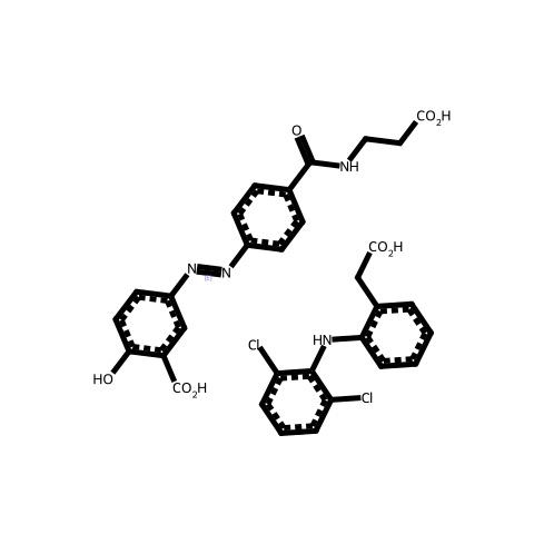 O=C(O)CCNC(=O)c1ccc(/N=N/c2ccc(O)c(C(=O)O)c2)cc1.O=C(O)Cc1ccccc1Nc1c(Cl)cccc1Cl